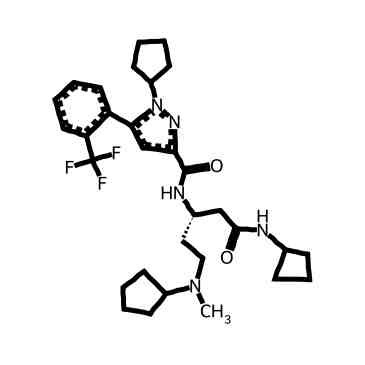 CN(CC[C@@H](CC(=O)NC1CCC1)NC(=O)c1cc(-c2ccccc2C(F)(F)F)n(C2CCCC2)n1)C1CCCC1